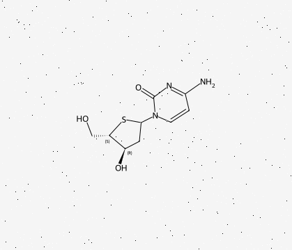 Nc1ccn(C2C[C@@H](O)[C@H](CO)S2)c(=O)n1